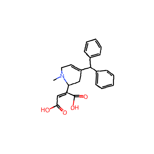 CN1CC=C(C(c2ccccc2)c2ccccc2)CC1C(=CC(=O)O)C(=O)O